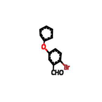 O=Cc1cc(Oc2ccccc2)ccc1Br